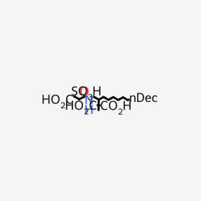 CCCCCCCCCCCCCCCCC(CNC(=O)CC(C(=O)O)S(=O)(=O)O)C(C)(C(=O)O)C(=O)O